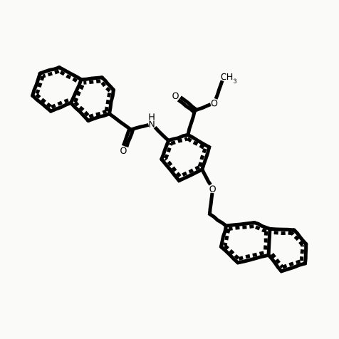 COC(=O)c1cc(OCc2ccc3ccccc3c2)ccc1NC(=O)c1ccc2ccccc2c1